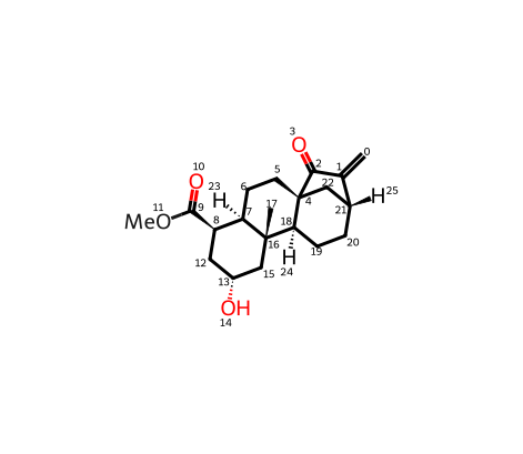 C=C1C(=O)[C@@]23CC[C@@H]4[C@H](C(=O)OC)C[C@@H](O)C[C@@]4(C)[C@@H]2CC[C@@H]1C3